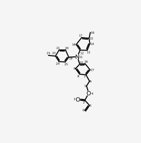 C=CC(=O)OCCc1ccc(N(c2ccc(C)cc2)c2ccc(C)cc2)cc1